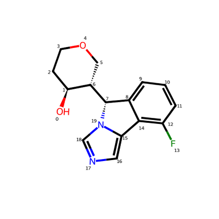 O[C@H]1CCOC[C@@H]1[C@@H]1c2cccc(F)c2-c2cncn21